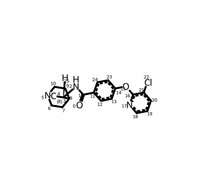 O=C(N[C@H]1CN2CCC1CC2)c1ccc(Oc2ncccc2Cl)cc1